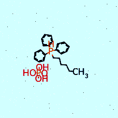 CCCCCC[PH](c1ccccc1)(c1ccccc1)c1ccccc1.O=P(O)(O)O